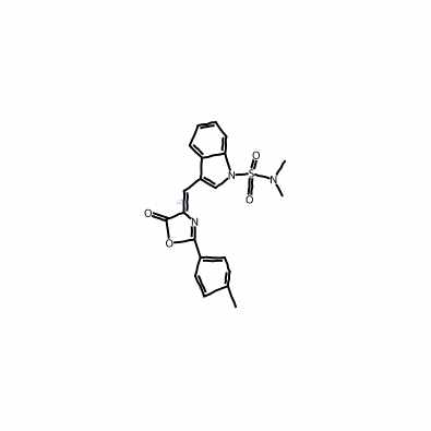 Cc1ccc(C2=N/C(=C\c3cn(S(=O)(=O)N(C)C)c4ccccc34)C(=O)O2)cc1